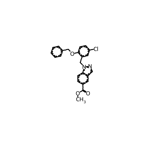 COC(=O)c1ccc2c(cnn2Cc2cc(Cl)ccc2OCc2ccccc2)c1